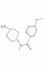 COc1ccc(C(=O)N(C)C2CCC(N)CC2)cc1